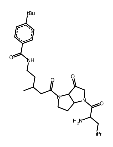 CC(C)CC(N)C(=O)N1CC(=O)C2C1CCN2C(=O)CC(C)CCNC(=O)c1ccc(C(C)(C)C)cc1